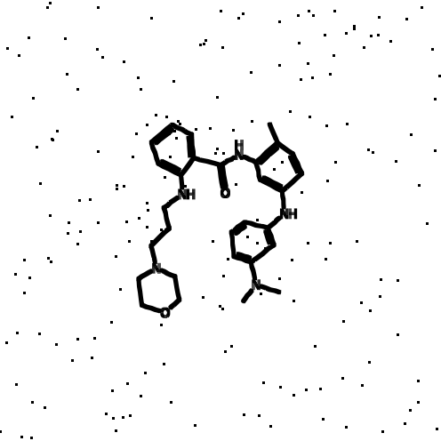 Cc1ccc(Nc2cccc(N(C)C)c2)cc1NC(=O)c1ccccc1NCCCN1CCOCC1